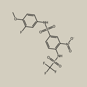 COc1ccc(NS(=O)(=O)c2ccc(NS(=O)(=O)C(F)(F)F)c([N+](=O)[O-])c2)cc1F